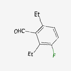 CCc1ccc(F)c(CC)c1C=O